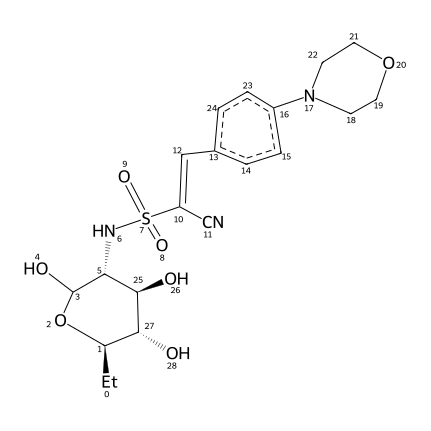 CC[C@H]1OC(O)[C@H](NS(=O)(=O)/C(C#N)=C/c2ccc(N3CCOCC3)cc2)[C@@H](O)[C@@H]1O